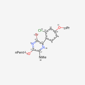 CCCCCOc1nc(Br)c(-c2ccc(OC(C)C)cc2Cl)nc1NC